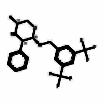 C[C@H]1CO[C@@H](OCc2cc(C(F)(F)F)cc(C(F)(F)F)c2)[C@@H](c2ccccc2)N1